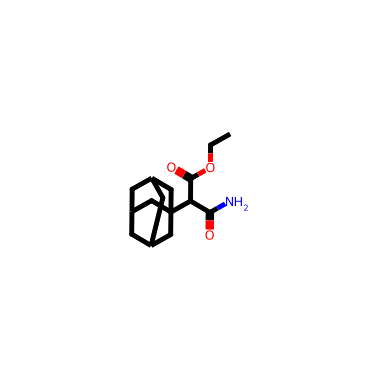 CCOC(=O)C(C(N)=O)C12CC3CC(CC(C3)C1)C2